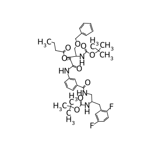 CCCC(=O)O[C@H](C(=O)Nc1cccc(C(=O)NCC(Cc2cc(F)ccc2F)NC(=O)OC(C)(C)C)c1)C(COCc1ccccc1)NC(=O)OC(C)(C)C